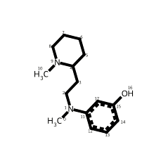 CN(CCC1CCCCN1C)c1cccc(O)c1